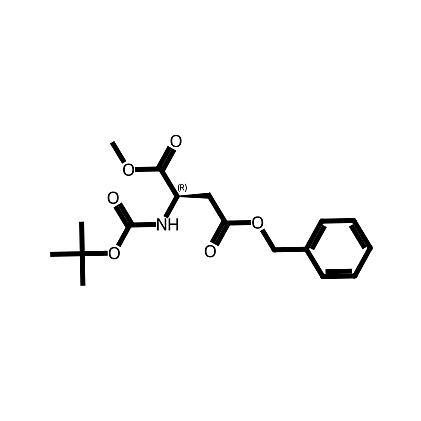 COC(=O)[C@@H](CC(=O)OCc1ccccc1)NC(=O)OC(C)(C)C